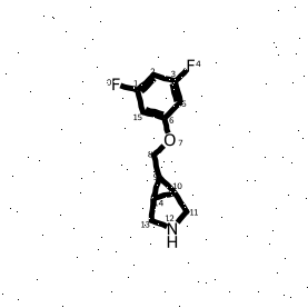 Fc1cc(F)cc(OCC2C3CNCC32)c1